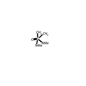 CNS(C)(C)(=O)NC